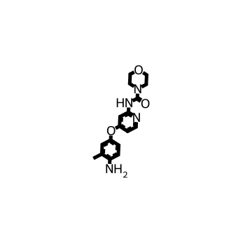 Cc1cc(Oc2ccnc(NC(=O)N3CCOCC3)c2)ccc1N